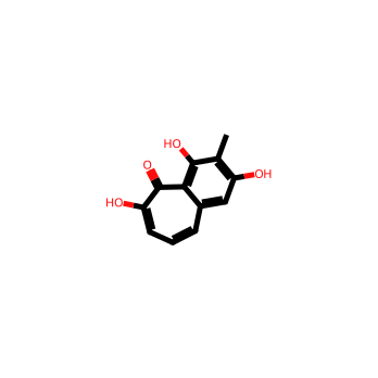 Cc1c(O)cc2cccc(O)c(=O)c2c1O